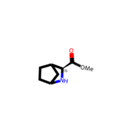 COC(=O)[C@H]1NC2CCC1C2